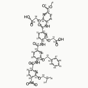 COC(=O)c1ccc(NC(=O)c2ccc(NC(=O)c3ccc(NC(=O)c4ccc([N+](=O)[O-])c(OCC(C)C)n4)c(OCc4ccccc4)n3)c(OCC(=O)O)n2)c(OCC(=O)O)n1